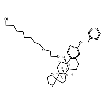 C[C@]12C[C@H](OCCOCCCCCCCCO)[C@@H]3c4ccc(OCc5ccccc5)cc4CC[C@H]3[C@@H]1CCC21OCCO1